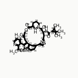 CCn1c(-c2cccnc2[C@H](C)OC)c2c3cc(ccc31)-c1csc(n1)C[C@H](NC(=O)[C@@H]1[C@@H](C)C1(C)C)C(=O)N1CCC[C@H](N1)C(=O)OCC(C)(C)C2